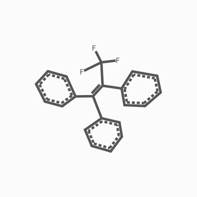 FC(F)(F)C(=C(c1ccccc1)c1ccccc1)c1ccccc1